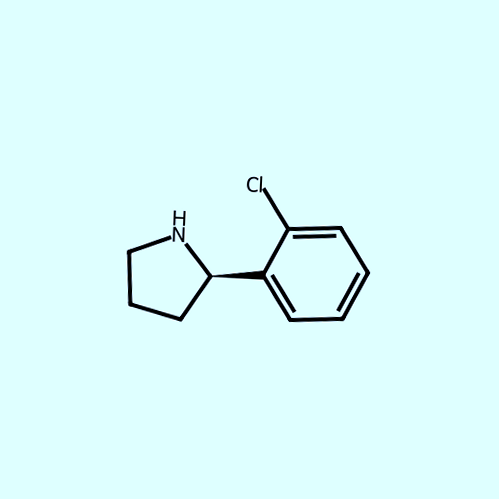 Clc1ccccc1[C@H]1CCCN1